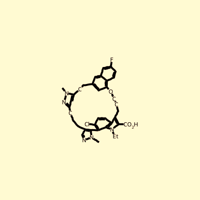 CCn1c(C(=O)O)c2c3ccc(Cl)c(c31)-c1c(cnn1C)CCCc1cc(n(C)n1)CCc1cc(c3ccc(F)cc3c1)OCCC2